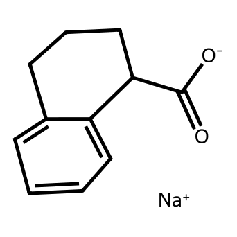 O=C([O-])C1CCCc2ccccc21.[Na+]